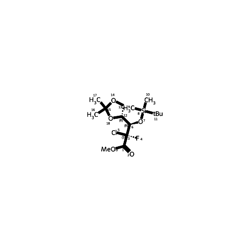 COC(=O)[C@@](F)(Cl)[C@H](O[Si](C)(C)C(C)(C)C)[C@H]1COC(C)(C)O1